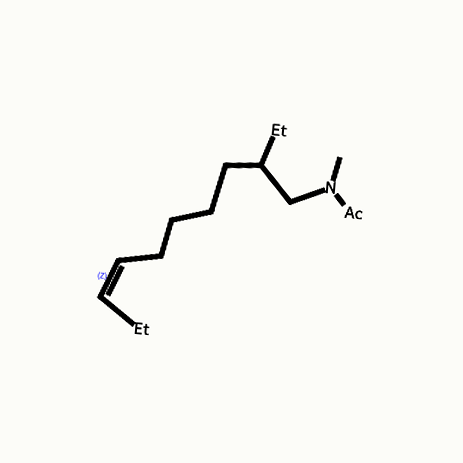 CC/C=C\CCCCC(CC)CN(C)C(C)=O